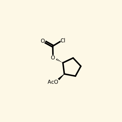 CC(=O)O[C@@H]1CCC[C@H]1OC(=O)Cl